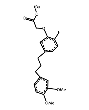 COc1ccc(CCCc2ccc(F)c(OCC(=O)OC(C)(C)C)c2)cc1OC